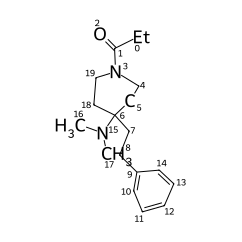 CCC(=O)N1CCC(CCc2ccccc2)(N(C)C)CC1